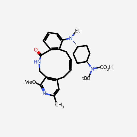 CCN(c1cccc2c1C/C=C\Cc1cc(C)nc(OC)c1CNC2=O)[C@H]1CC[C@H](N(C(=O)O)C(C)(C)C)CC1